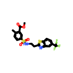 COC(=O)c1cc(S(=O)(=O)NCCc2nc3cc(C(F)(F)F)ccc3s2)ccc1C